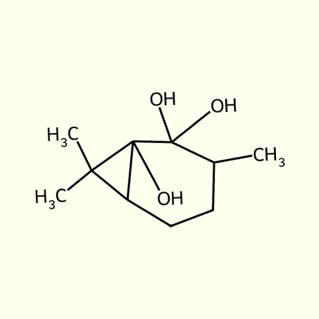 CC1CCC2C(C)(C)C2(O)C1(O)O